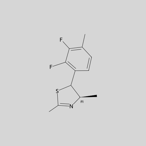 CC1=N[C@H](C)C(c2ccc(C)c(F)c2F)S1